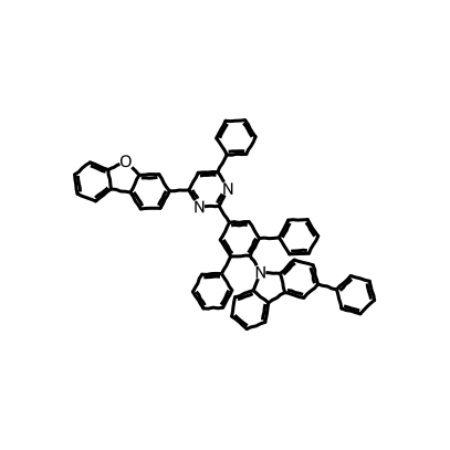 c1ccc(-c2ccc3c(c2)c2ccccc2n3-c2c(-c3ccccc3)cc(-c3nc(-c4ccccc4)cc(-c4ccc5c(c4)oc4ccccc45)n3)cc2-c2ccccc2)cc1